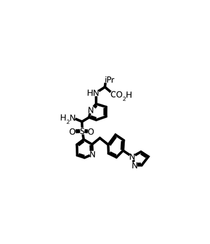 CC(C)C(Nc1cccc(C(N)S(=O)(=O)c2cccnc2Cc2ccc(-n3cccn3)cc2)n1)C(=O)O